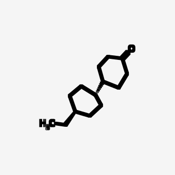 CC[C@H]1CC[C@H](C2CCC(=O)CC2)CC1